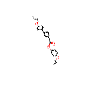 C=CCOc1ccc(OC(=O)c2ccc(-c3ccc(OCC(C)CC)cc3)cc2)cc1